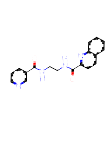 O=C(NCCNC(=O)c1ccc2ccccc2n1)c1cccnc1